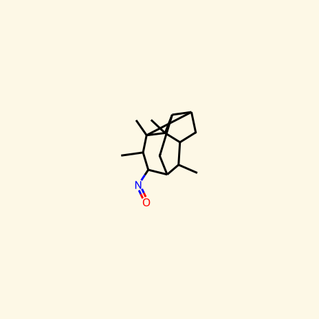 CC1C2CC3C4CC1C3(C)C4(C)C(C)C2N=O